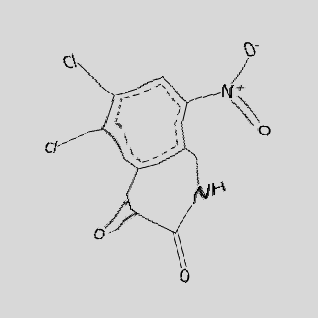 O=C1Nc2c([N+](=O)[O-])cc(Cl)c(Cl)c2C1=O